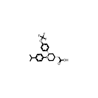 CC(C)c1ccc(N2CC[C@@H](CC(=O)O)C[C@H]2c2ccc(OC(F)(F)F)cc2)cc1